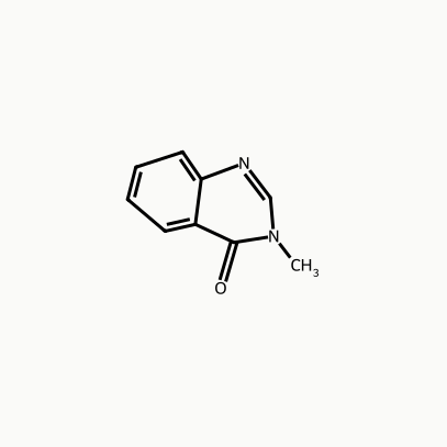 Cn1cnc2ccccc2c1=O